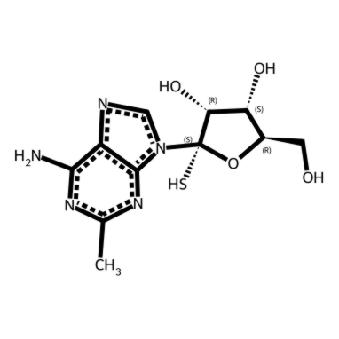 Cc1nc(N)c2ncn([C@]3(S)O[C@H](CO)[C@@H](O)[C@H]3O)c2n1